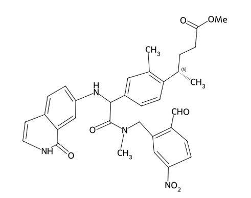 COC(=O)CC[C@H](C)c1ccc(C(Nc2ccc3cc[nH]c(=O)c3c2)C(=O)N(C)Cc2cc([N+](=O)[O-])ccc2C=O)cc1C